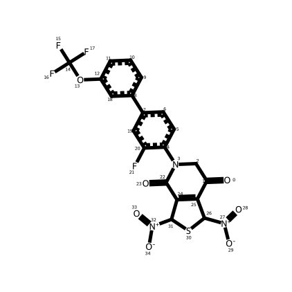 O=C1CN(c2ccc(-c3cccc(OC(F)(F)F)c3)cc2F)C(=O)C2=C1C([N+](=O)[O-])SC2[N+](=O)[O-]